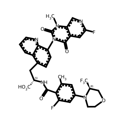 Cc1cc(N2CCOC[C@@H]2C(F)(F)F)cc(F)c1C(=O)N[C@@H](Cc1ccc(-n2c(=O)c3cc(F)ncc3n(C)c2=O)c2ncccc12)C(=O)O